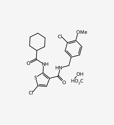 COc1ccc(CNC(=O)c2cc(Cl)sc2NC(=O)C2CCCCC2)cc1Cl.O=C(O)O